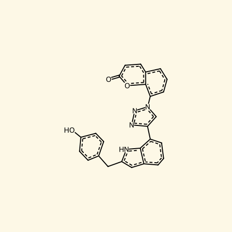 O=c1ccc2cccc(-n3cc(-c4cccc5cc(Cc6ccc(O)cc6)[nH]c45)nn3)c2o1